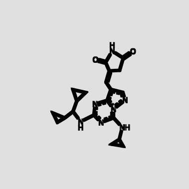 O=C1C/C(=C\c2cnn3c(NC4CC4)nc(NC(C4CC4)C4CC4)nc23)C(=O)N1